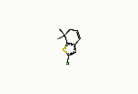 CC1(C)CC=Cc2cc(Cl)sc21